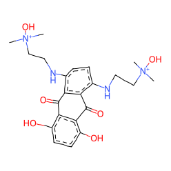 C[N+](C)(O)CCNc1ccc(NCC[N+](C)(C)O)c2c1C(=O)c1c(O)ccc(O)c1C2=O